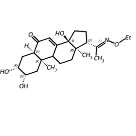 CCO/N=C(\C)[C@H]1CC[C@@]2(O)C3=CC(=O)[C@@H]4C[C@@H](O)[C@@H](O)C[C@]4(C)C3CC[C@]12C